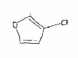 Clc1[c]occ1